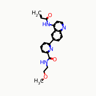 C=CC(=O)Nc1ccnc2ccc(-c3cccc(C(=O)NCCOC)n3)cc12